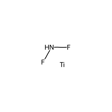 FNF.[Ti]